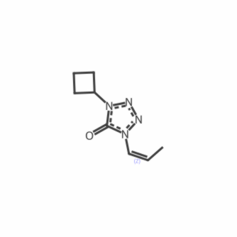 C/C=C\n1nnn(C2CCC2)c1=O